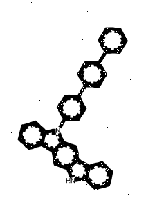 c1ccc(-c2ccc(-c3ccc(-n4c5ccccc5c5cc6[nH]c7ccccc7c6cc54)cc3)cc2)cc1